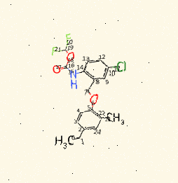 CCc1ccc(OCc2cc(Cl)ccc2NC(=O)OC(F)F)c(C)c1